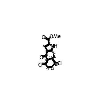 COC(=O)c1cc(C(=O)c2c(Cl)ccc(Cl)c2F)c[nH]1